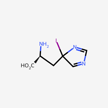 N[C@@H](CC1(I)C=NC=N1)C(=O)O